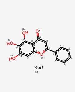 O=c1cc(-c2ccccc2)oc2cc(O)c(O)c(O)c12.[NaH]